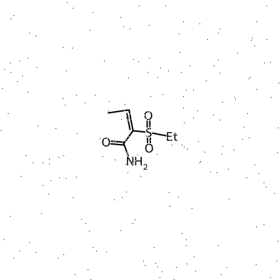 C/C=C(\C(N)=O)S(=O)(=O)CC